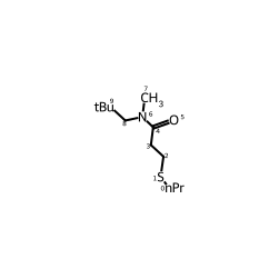 CCCSCCC(=O)N(C)CC(C)(C)C